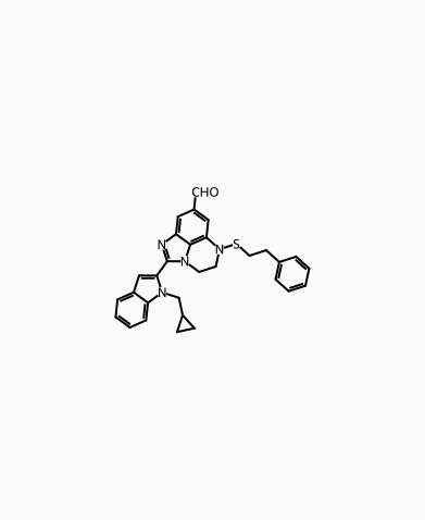 O=Cc1cc2c3c(c1)nc(-c1cc4ccccc4n1CC1CC1)n3CCN2SCCc1ccccc1